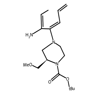 C=C/C=C(\C(N)=C/C)N1CCN(C(=O)OC(C)(C)C)[C@@H](COC)C1